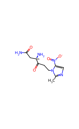 Cc1ncc([N+](=O)[O-])n1CCC(=O)[C@H](N)CC(N)=O